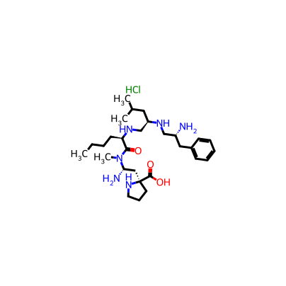 CCCC[C@@H](NC[C@@H](CC(C)C)NC[C@H](N)Cc1ccccc1)C(=O)N(C)[C@@H](N)C[C@]1(C(=O)O)CCCN1.Cl